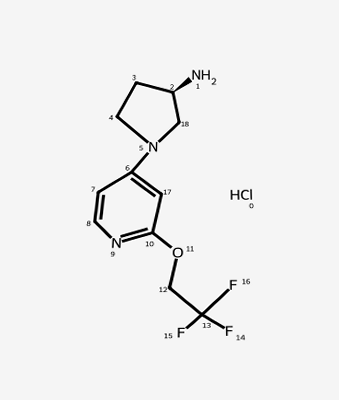 Cl.N[C@@H]1CCN(c2ccnc(OCC(F)(F)F)c2)C1